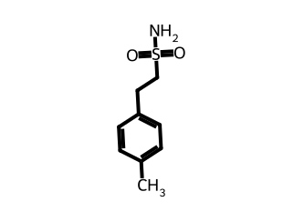 Cc1ccc(CCS(N)(=O)=O)cc1